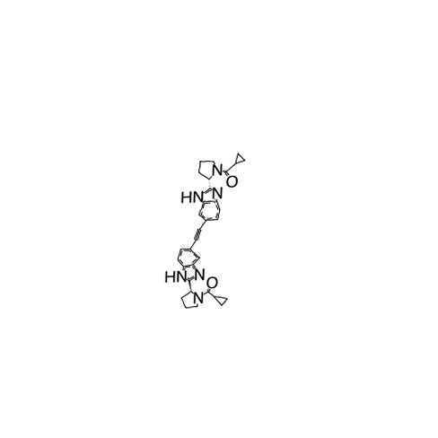 O=C(C1CC1)N1CCC[C@H]1c1nc2cc(C#Cc3ccc4nc([C@@H]5CCCN5C(=O)C5CC5)[nH]c4c3)ccc2[nH]1